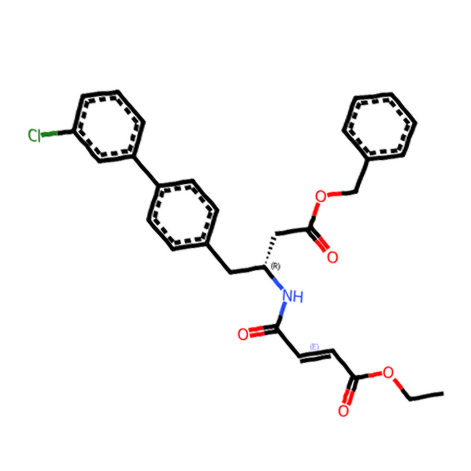 CCOC(=O)/C=C/C(=O)N[C@@H](CC(=O)OCc1ccccc1)Cc1ccc(-c2cccc(Cl)c2)cc1